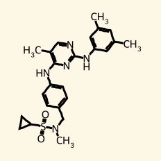 Cc1cc(C)cc(Nc2ncc(C)c(Nc3ccc(CN(C)S(=O)(=O)C4CC4)cc3)n2)c1